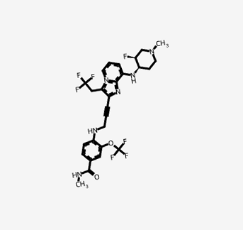 CNC(=O)c1ccc(NCC#Cc2nc3c(N[C@@H]4CCN(C)C[C@@H]4F)cccn3c2CC(F)(F)F)c(OC(F)(F)F)c1